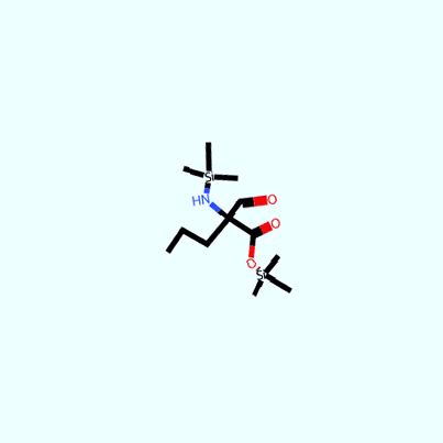 CCCC([C]=O)(N[Si](C)(C)C)C(=O)O[Si](C)(C)C